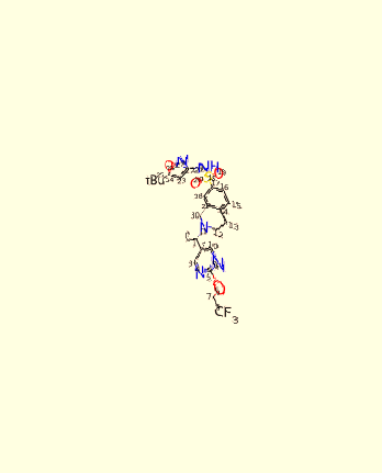 CC(c1cnc(OCC(F)(F)F)nc1)N1CCc2ccc(S(=O)(=O)Nc3cc(C(C)(C)C)on3)cc2C1